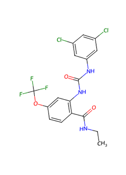 CCNC(=O)c1ccc(OC(F)(F)F)cc1NC(=O)Nc1cc(Cl)cc(Cl)c1